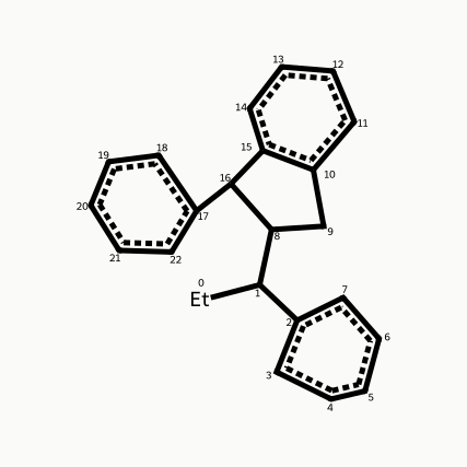 CCC(c1ccccc1)C1Cc2ccccc2C1c1ccccc1